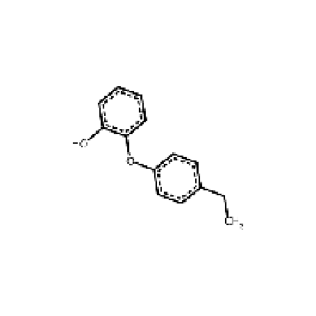 CCc1ccc(Oc2ccccc2O)cc1